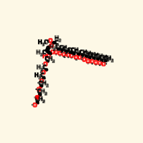 [CH2]C(OC)OC=C(C)C(=O)O.[CH2]C[O].[CH2]C[O].[CH2]C[O].[CH2]C[O].[CH2]C[O].[CH2]C[O].[CH2]C[O].[CH2]C[O].[CH2]C[O].[CH2]C[O].[CH2]C[O].[CH2]C[O].[CH2]C[O].[CH2]C[O].[CH2]C[O].[CH2]C[O].[CH2]C[O].[CH2]C[O].[CH2]C[O]